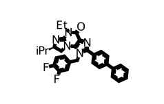 CCN1C(=O)c2nc(-c3ccc(-c4ccccc4)cc3)n(Cc3ccc(F)c(F)c3)c2N2C[C@@H](C(C)C)N=C12